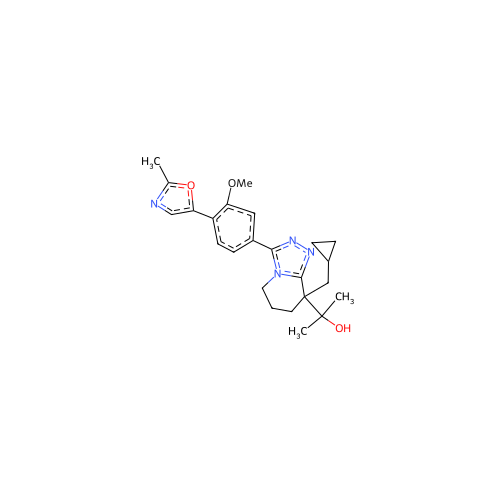 COc1cc(-c2nnc3n2CCCC3(CC2CC2)C(C)(C)O)ccc1-c1cnc(C)o1